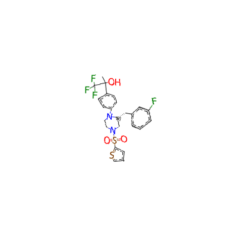 CC(O)(c1ccc(N2CCN(S(=O)(=O)c3cccs3)C[C@H]2Cc2cccc(F)c2)cc1)C(F)(F)F